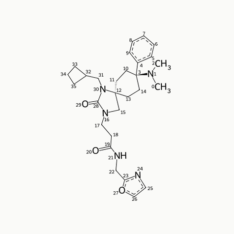 CN(C)[C@]1(c2ccccc2)CC[C@]2(CC1)CN(CCC(=O)NCc1ncco1)C(=O)N2CC1CCC1